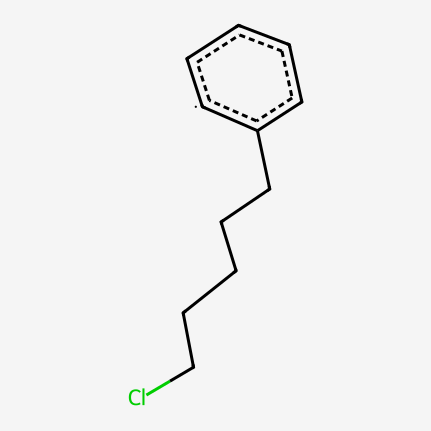 ClCCCCCc1[c]cccc1